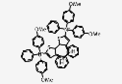 COc1ccc([N+](C2=CC(=[SiH]c3ccccc3)C(C3SC([N+](c4ccccc4)(c4ccc(OC)cc4)c4ccc(OC)cc4)=CC3=[SiH]c3ccccc3)S2)(c2ccccc2)c2ccc(OC)cc2)cc1